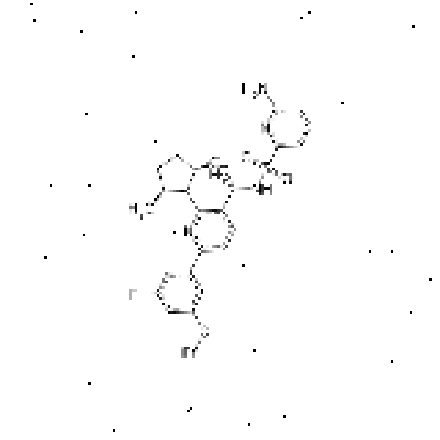 CC(C)Oc1cc(F)cc(-c2ccc(C(=O)NS(=O)(=O)c3cccc(N)n3)c(C3[C@H](C)CC[C@@H]3C)n2)c1